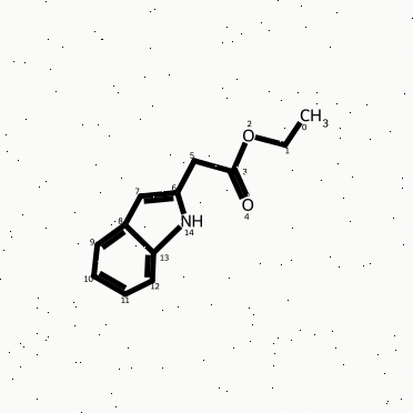 CCOC(=O)Cc1cc2ccccc2[nH]1